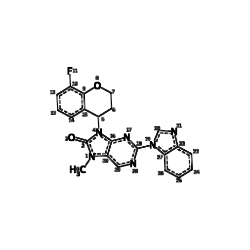 Cn1c(=O)n(C2CCOc3c(F)cccc32)c2nc(-n3cnc4ccccc43)ncc21